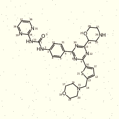 O=C(Nc1ccc(-c2nc(-c3ccc(CN4CCOCC4)s3)nc(C3CNCCO3)n2)cc1)Nc1ncccn1